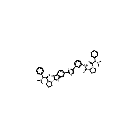 CN(C)[C@@H](C(=O)N1CCC[C@H]1C(=O)Nc1cccc(-c2cnc(-c3ccc4[nH]c([C@@H]5CCCN5C(=O)[C@@H](c5ccccc5)N(C)C)nc4c3)o2)c1)c1ccccc1